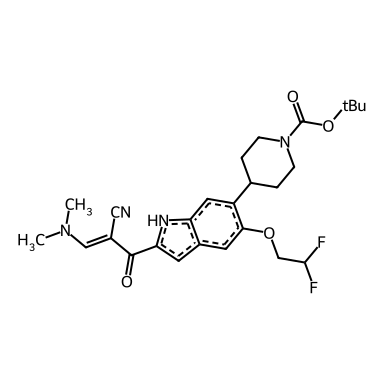 CN(C)/C=C(\C#N)C(=O)c1cc2cc(OCC(F)F)c(C3CCN(C(=O)OC(C)(C)C)CC3)cc2[nH]1